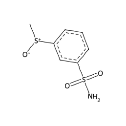 C[S+]([O-])c1cccc(S(N)(=O)=O)c1